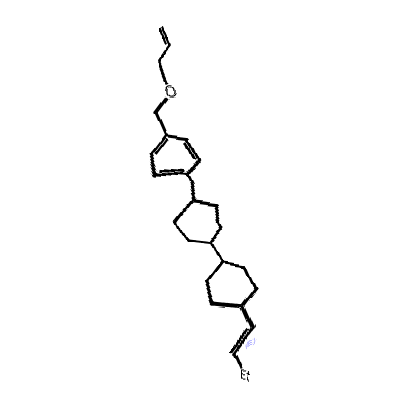 C=CCOCc1ccc(C2CCC(C3CCC(/C=C/CC)CC3)CC2)cc1